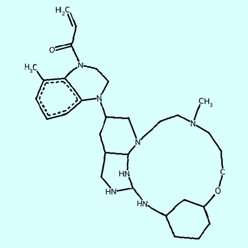 C=CC(=O)N1CCN(C2CC3CNC4NC5CCCC(C5)OCCCN(C)CCN(C2)C3N4)c2cccc(C)c21